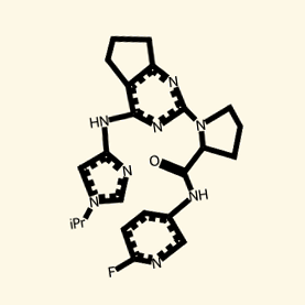 CC(C)n1cnc(Nc2nc(N3CCCC3C(=O)Nc3ccc(F)nc3)nc3c2CCC3)c1